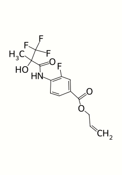 C=CCOC(=O)c1ccc(NC(=O)C(C)(O)C(F)(F)F)c(F)c1